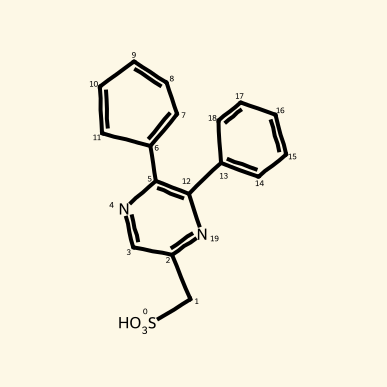 O=S(=O)(O)Cc1cnc(-c2ccccc2)c(-c2ccccc2)n1